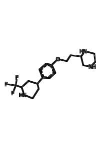 FC(F)(F)C1CC(c2ccc(OCCC3CNCCN3)cc2)CCN1